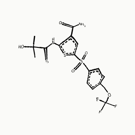 CC(C)(O)C(=O)Nc1sc(S(=O)(=O)c2ccc(OC(F)(F)F)cc2)cc1C(N)=O